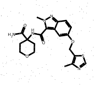 Cc1ncsc1COc1ccc2nn(C)c(C(=O)NC3(C(N)=O)CCOCC3)c2c1